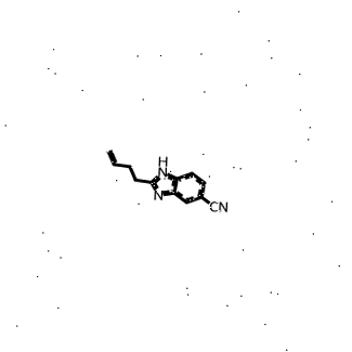 C=CCCc1nc2cc(C#N)ccc2[nH]1